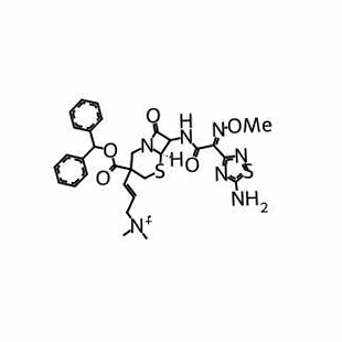 CON=C(C(=O)NC1C(=O)N2CC(C=CC[N+](C)(C)C)(C(=O)OC(c3ccccc3)c3ccccc3)CS[C@H]12)c1nsc(N)n1